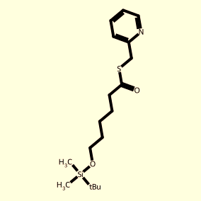 CC(C)(C)[Si](C)(C)OCCCCCC(=O)SCc1ccccn1